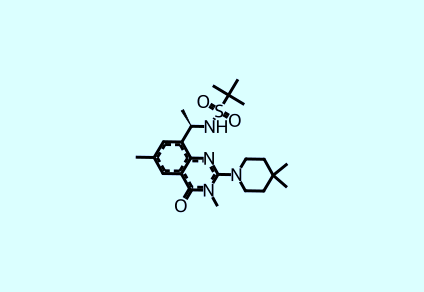 Cc1cc([C@@H](C)NS(=O)(=O)C(C)(C)C)c2nc(N3CCC(C)(C)CC3)n(C)c(=O)c2c1